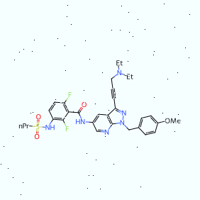 CCCS(=O)(=O)Nc1ccc(F)c(C(=O)Nc2cnc3c(c2)c(C#CCN(CC)CC)nn3Cc2ccc(OC)cc2)c1F